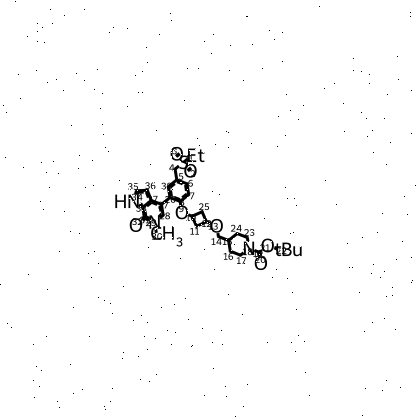 CCS(=O)(=O)Cc1ccc(OC2CC(OCC3CCN(C(=O)OC(C)(C)C)CC3)C2)c(-c2cn(C)c(=O)c3[nH]ccc23)c1